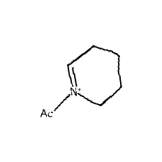 C[13C](=O)[N+]1=CCCCC1